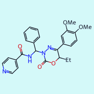 CCC1OC(=O)N(C(NC(=O)c2ccncc2)c2ccccc2)N=C1c1ccc(OC)c(OC)c1